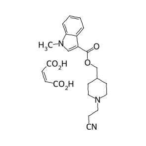 Cn1cc(C(=O)OCC2CCN(CCC#N)CC2)c2ccccc21.O=C(O)/C=C\C(=O)O